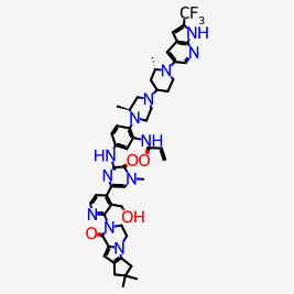 C=CC(=O)Nc1cc(Nc2nc(-c3ccnc(N4CCn5c(cc6c5CC(C)(C)C6)C4=O)c3CO)cn(C)c2=O)ccc1N1CCN(C2CCN(c3cnc4[nH]c(C(F)(F)F)cc4c3)[C@@H](C)C2)C[C@@H]1C